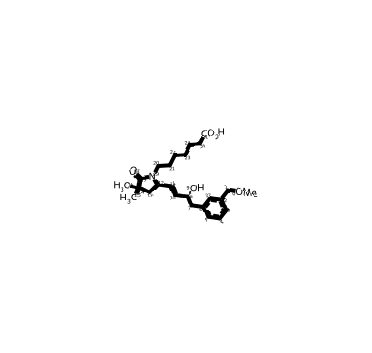 COCc1cccc(C[C@@H](O)/C=C/C2CC(C)(C)C(=O)N2CCCCCCC(=O)O)c1